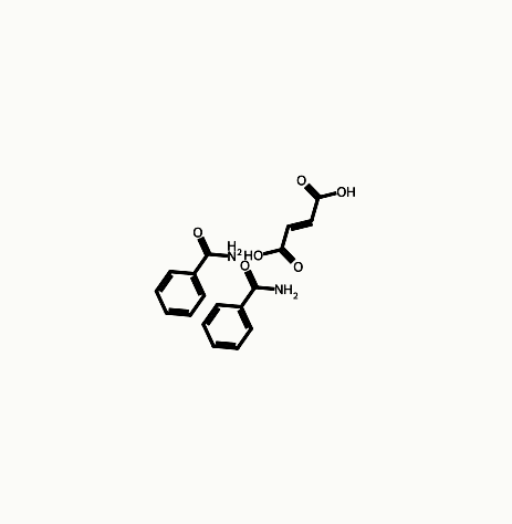 NC(=O)c1ccccc1.NC(=O)c1ccccc1.O=C(O)/C=C/C(=O)O